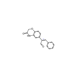 O=C/C(=C\c1ccccc1)c1ccc2c(c1)NC(=O)CO2